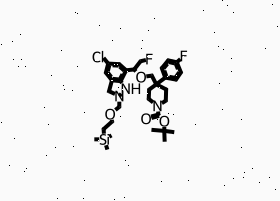 CC(C)(C)OC(=O)N1CCC(COC(CF)c2cc(Cl)cc3c2NN(COCC[Si](C)(C)C)C3)(c2ccc(F)cc2)CC1